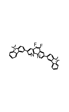 CS1(C)c2ccccc2-c2cc(-c3cnc4c(c3)c(F)c(F)c3cc(-c5ccc6c(c5)-c5ccccc5S6(C)C)cnc34)ccc21